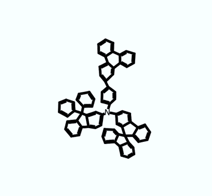 c1ccc(C2(c3ccccc3)c3ccccc3-c3ccc(N(c4ccc(-c5ccc6c7ccccc7c7ccccc7c6c5)cc4)c4ccc5c(c4)C4(c6ccccc6-c6ccccc64)c4ccccc4-5)cc32)cc1